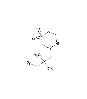 CC(C)CC(C)(C)CC1CS(=O)(=O)CCN1